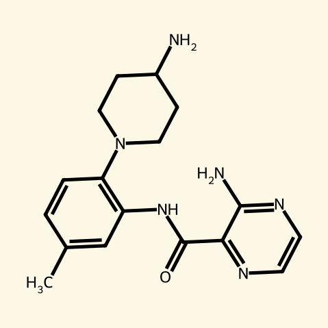 Cc1ccc(N2CCC(N)CC2)c(NC(=O)c2nccnc2N)c1